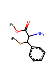 CC(C)OC(=O)C(N)C(SC(C)C)c1ccccc1